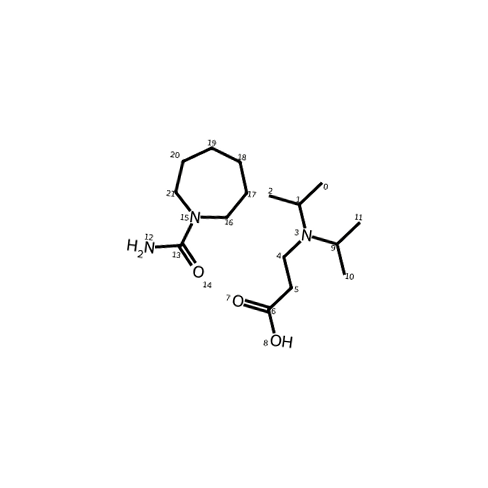 CC(C)N(CCC(=O)O)C(C)C.NC(=O)N1CCCCCC1